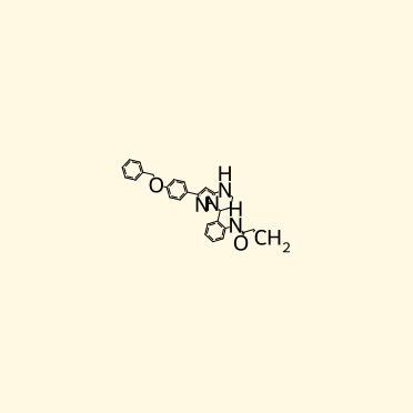 C=CC(=O)Nc1ccccc1C1CCNc2cc(-c3ccc(OCc4ccccc4)cc3)nn21